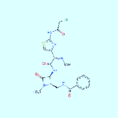 CON=C(C(=O)N[C@@H]1C(=O)N(S(=O)(=O)O)[C@@H]1CNC(=O)c1ccccc1)c1csc(NC(=O)CCl)n1